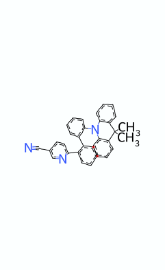 CC1(C)c2ccccc2N(c2ccccc2-c2ccccc2-c2ccc(C#N)cn2)c2ccccc21